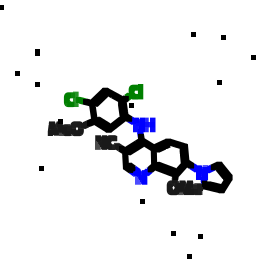 COc1cc(Nc2c(C#N)cnc3c(OC)c(-n4cccc4)ccc23)c(Cl)cc1Cl